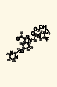 CO[C@H]1[C@@H](C(=O)O)N(C(=O)Cn2nc(C(C)=O)c3cc(OCc4ncccn4)ccc32)C[C@@H]1F